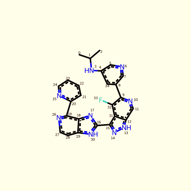 CC(C)Nc1cncc(-c2ncc3[nH]nc(-c4nc5c(-c6ccccn6)nccc5[nH]4)c3c2F)c1